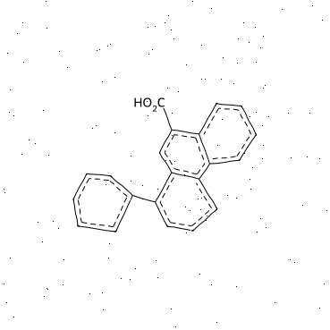 O=C(O)c1cc2c(-c3ccccc3)cccc2c2ccccc12